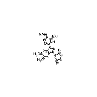 CNC(=O)[C@@H](NC(=O)c1nc(-c2cc(F)ccc2F)n2c1CN(C)C(C)C2)C(C)(C)C